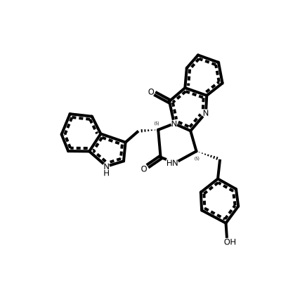 O=C1N[C@@H](Cc2ccc(O)cc2)c2nc3ccccc3c(=O)n2[C@H]1Cc1c[nH]c2ccccc12